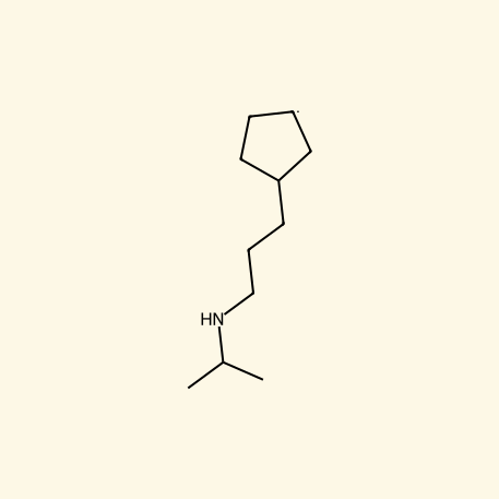 CC(C)NCCCC1C[CH]CC1